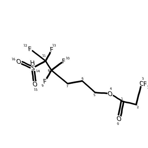 O=C(CC(F)(F)F)OCCCC(F)(F)C(F)(F)[SH](=O)=O